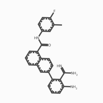 Cc1cc(NC(=O)c2cccc3cc(-c4cccc(N)c4C(=N)N)ccc23)ccc1F